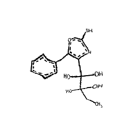 CCC(O)(O)C(O)(O)c1nc(S)oc1-c1ccccc1